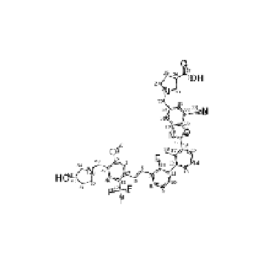 COc1cc(/C=C/c2cccc(-c3cccc(-c4nc5cc(CN6CC[C@@H](C(=O)O)C6)cc(C#N)c5o4)c3C)c2F)c(C(F)(F)F)cc1CN1CC[C@@H](O)C1